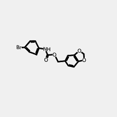 O=C(Nc1ccc(Br)cc1)OCc1ccc2c(c1)OCO2